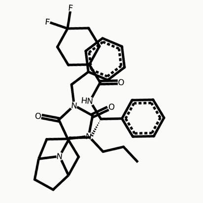 CCCN1C(=O)N(Cc2ccccc2)C(=O)C12CC1CCC(C2)N1CC[C@H](NC(=O)C1CCC(F)(F)CC1)c1ccccc1